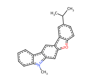 CC(C)c1ccc2oc3cc4c(cc3c2c1)c1ccccc1n4C